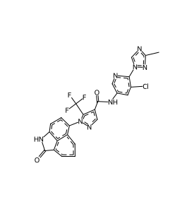 Cc1ncn(-c2ncc(NC(=O)c3cnn(-c4ccc5c6c(cccc46)C(=O)N5)c3C(F)(F)F)cc2Cl)n1